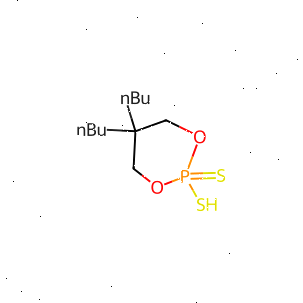 CCCCC1(CCCC)COP(=S)(S)OC1